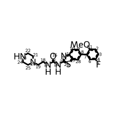 COc1ccc(F)cc1-c1ccc2nc(NC(=O)NCCN3CCNCC3)sc2c1